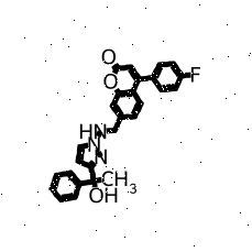 CC(O)(c1ccccc1)c1ccn(NCc2ccc3c(-c4ccc(F)cc4)cc(=O)oc3c2)n1